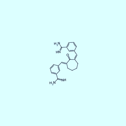 N=C(N)c1cccc(/C=C2/CCCC/C(=C\c3cccc(C(=N)N)c3)C2=O)c1